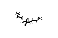 CC(=O)CCSC(C)(C)SCCC(C)=O